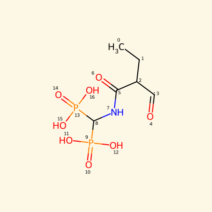 CCC([C]=O)C(=O)NC(P(=O)(O)O)P(=O)(O)O